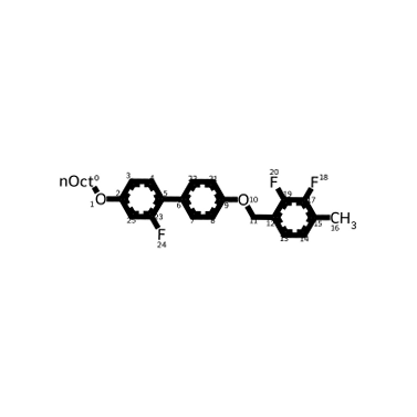 CCCCCCCCOc1ccc(-c2ccc(OCc3ccc(C)c(F)c3F)cc2)c(F)c1